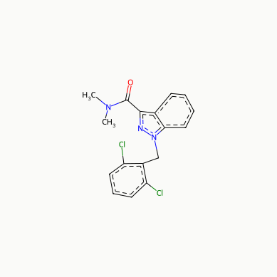 CN(C)C(=O)c1nn(Cc2c(Cl)cccc2Cl)c2ccccc12